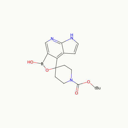 CC(C)(C)OC(=O)N1CCC2(CC1)OB(O)c1cnc3[nH]ccc3c12